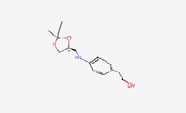 CC1(C)OC[C@H](CNc2ccc(CCO)cc2)O1